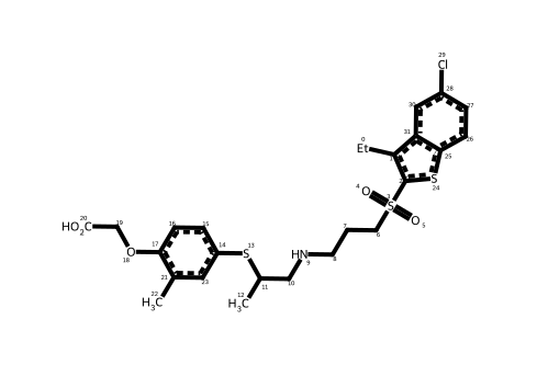 CCc1c(S(=O)(=O)CCCNCC(C)Sc2ccc(OCC(=O)O)c(C)c2)sc2ccc(Cl)cc12